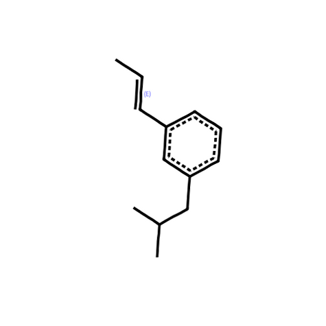 C/C=C/c1cccc(CC(C)C)c1